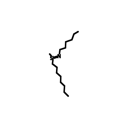 CCCCCCCC[Si](C)=NCCCCCC